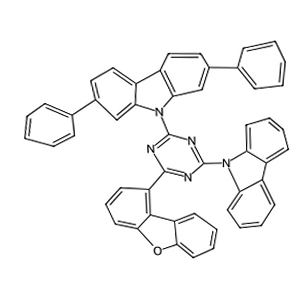 c1ccc(-c2ccc3c4ccc(-c5ccccc5)cc4n(-c4nc(-c5cccc6oc7ccccc7c56)nc(-n5c6ccccc6c6ccccc65)n4)c3c2)cc1